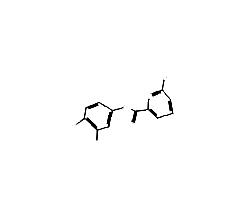 O=C(Nc1ccc([N+](=O)[O-])c(F)c1)c1cccc(Br)n1